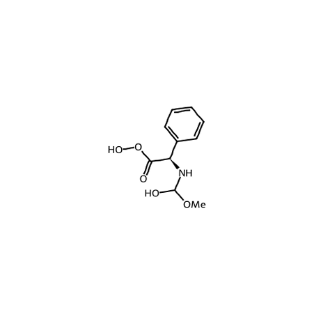 COC(O)N[C@@H](C(=O)OO)c1ccccc1